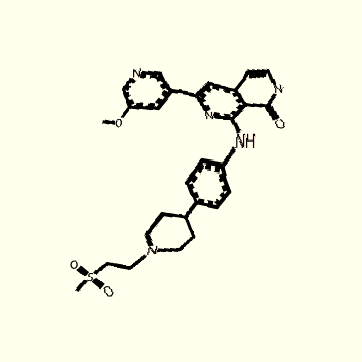 COc1cncc(-c2cc3c(c(Nc4ccc(C5CCN(CCS(C)(=O)=O)CC5)cc4)n2)C(=O)[N]C=C3)c1